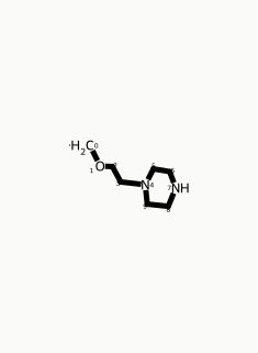 [CH2]OCCN1CCNCC1